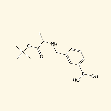 C[C@H](NCc1cccc(B(O)O)c1)C(=O)OC(C)(C)C